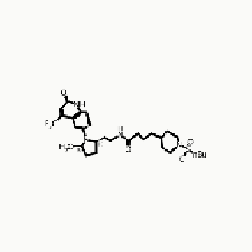 CCCCS(=O)(=O)N1CCC(CCCC(=O)NCC[C@H]2CC[C@@H](C)N2c2ccc3[nH]c(=O)cc(C(F)(F)F)c3c2)CC1